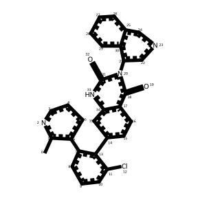 Cc1ncccc1-c1cccc(Cl)c1-c1ccc2c(=O)n(-c3cncc4ccccc34)c(=O)[nH]c2c1